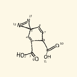 O=C(O)C1=CC2(C=CC1C(=O)O)N=N2